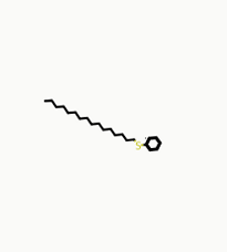 CCCCCCCCCCCCCCCCSc1[c]cccc1